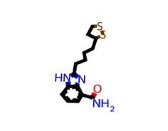 NC(=O)c1cccc2[nH]c(CCCCC3CCSS3)nc12